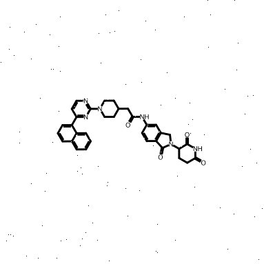 O=C1CCC(N2Cc3cc(NC(=O)CC4CCN(c5nccc(-c6cccc7ccccc67)n5)CC4)ccc3C2=O)C(=O)N1